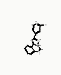 Fc1cc(-c2nc3c4ccccc4ncn3n2)ccn1